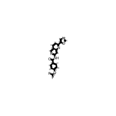 O=C(Nc1cc2nc(-c3cnco3)ccc2cn1)c1ccc(OC(F)F)cc1